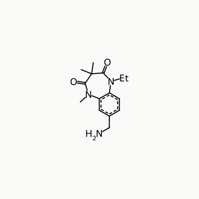 CCN1C(=O)C(C)(C)C(=O)N(C)c2cc(CN)ccc21